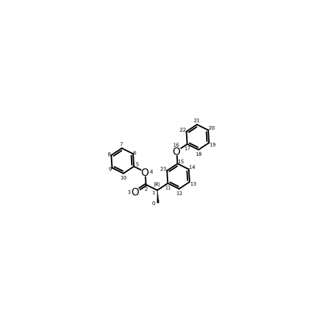 C[C@@H](C(=O)Oc1ccccc1)c1cccc(Oc2ccccc2)c1